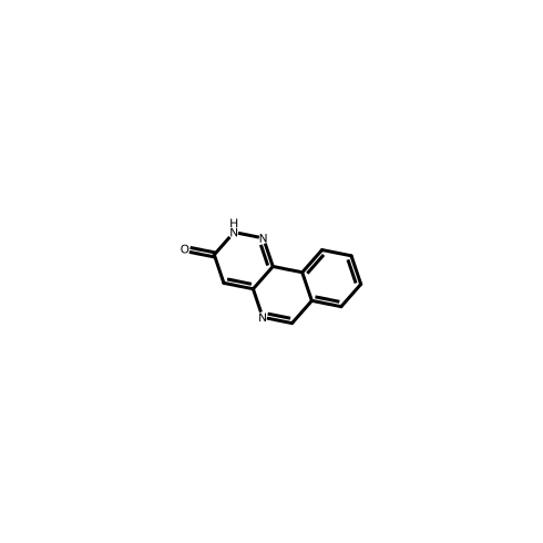 O=c1cc2ncc3ccccc3c2n[nH]1